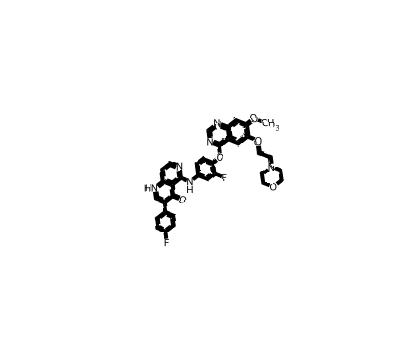 COc1cc2ncnc(Oc3ccc(Nc4nccc5[nH]cc(-c6ccc(F)cc6)c(=O)c45)cc3F)c2cc1OCCN1CCOCC1